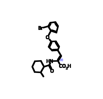 CC1CCCCC1C(=O)N/C(=C\c1ccc(Oc2ccccc2Br)cc1)C(=O)O